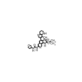 Cc1c(-c2cc3cc(NC(=O)N[C@@H]4CCOC4)ncc3c(NC(=O)OC(C)(C)C)c2F)cnc2c1NCCC2